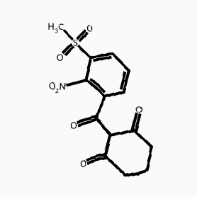 CS(=O)(=O)c1cccc(C(=O)C2C(=O)CCCC2=O)c1[N+](=O)[O-]